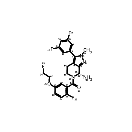 Cn1nc2c(c1-c1cc(F)cc(F)c1)CCN(C(=O)c1cc(OCCF)ccc1F)[C@H]2N